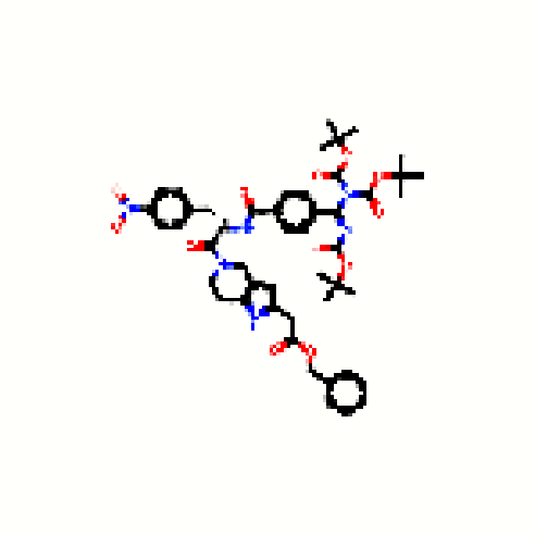 CC(C)(C)OC(=O)N=C(c1ccc(C(=O)N[C@@H](Cc2ccc([N+](=O)[O-])cc2)C(=O)N2CCc3[nH]c(CC(=O)OCc4ccccc4)cc3C2)cc1)N(C(=O)OC(C)(C)C)C(=O)OC(C)(C)C